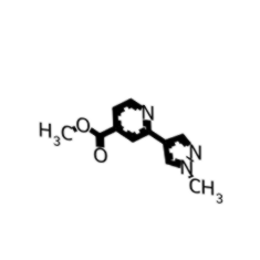 COC(=O)c1ccnc(-c2cnn(C)c2)c1